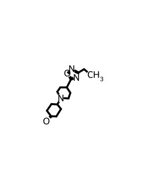 CCc1noc(C2CCN(C3CCC(=O)CC3)CC2)n1